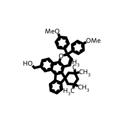 COc1ccc(C2(c3ccc(OC)cc3)C=Cc3c4c(c5cc(CO)ccc5c3O2)-c2ccccc2C42CC(C)(C)CC(C)(C)C2)cc1